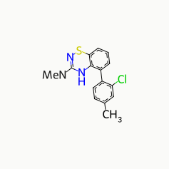 CNC1=NSc2cccc(-c3ccc(C)cc3Cl)c2N1